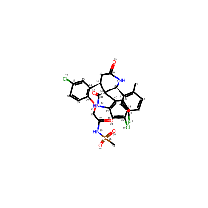 Cc1ccc(F)cc1[C@@H]1NC(=O)C[C@H](c2cc(Cl)ccc2OCC(=O)NS(C)(=O)=O)[C@@]12C(=O)Nc1cc(Cl)ccc12